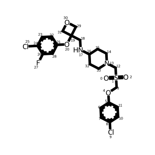 O=S(=O)(COc1ccc(Cl)cc1)CN1CCC(NCC2(Oc3ccc(Cl)c(F)c3)COC2)CC1